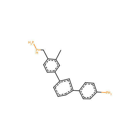 Cc1cc(-c2cccc(-c3ccc(P)cc3)c2)ccc1CPP